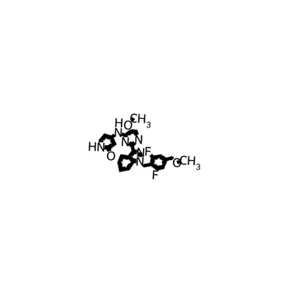 COCc1cc(F)c(Cn2nc(-c3ncc(OC)c(Nc4cc[nH]c(=O)c4)n3)c3ccccc32)c(F)c1